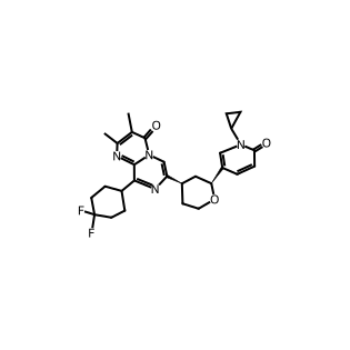 Cc1nc2c(C3CCC(F)(F)CC3)nc([C@@H]3CCO[C@H](c4ccc(=O)n(C5CC5)c4)C3)cn2c(=O)c1C